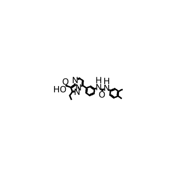 CCc1nn2c(-c3cccc(NC(=O)Nc4ccc(C)c(C)c4)c3)ccnc2c1C(=O)O